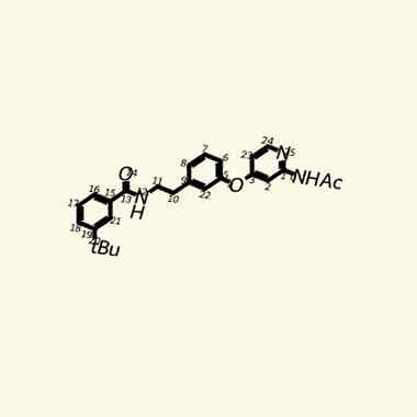 CC(=O)Nc1cc(Oc2cccc(CCNC(=O)c3cccc(C(C)(C)C)c3)c2)ccn1